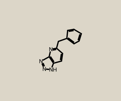 c1ccc(Cc2ccc3[nH]nnc3n2)cc1